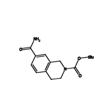 CC(C)(C)OC(=O)N1CCc2ccc(C(N)=O)cc2C1